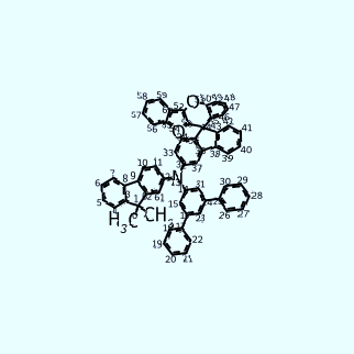 CC1(C)c2ccccc2-c2ccc(N(c3cc(-c4ccccc4)cc(-c4ccccc4)c3)c3ccc4c(c3)-c3ccccc3C43c4ccccc4Oc4c3oc3ccccc43)cc21